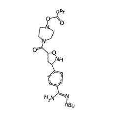 CCCCN=C(N)c1ccc(C2CC(C(=O)N3CCN(OC(=O)CCC)CC3)ON2)cc1